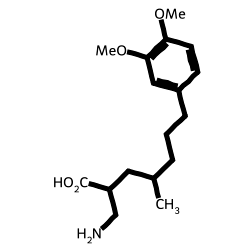 COc1ccc(CCCC(C)CC(CN)C(=O)O)cc1OC